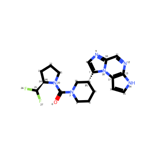 O=C(N1CCC[C@@H](c2cnc3cnc4[nH]ccc4n23)C1)N1CCC[C@@H]1C(F)F